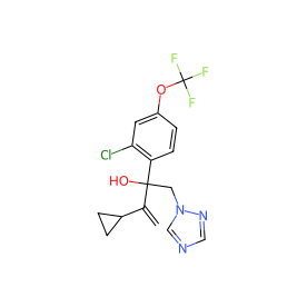 C=C(C1CC1)C(O)(Cn1cncn1)c1ccc(OC(F)(F)F)cc1Cl